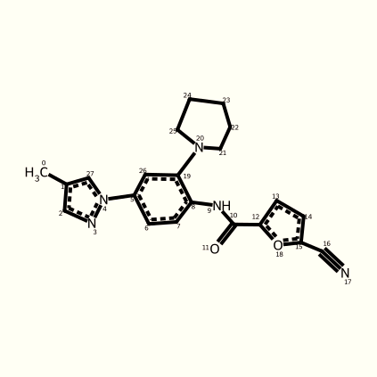 Cc1cnn(-c2ccc(NC(=O)c3ccc(C#N)o3)c(N3CCCCC3)c2)c1